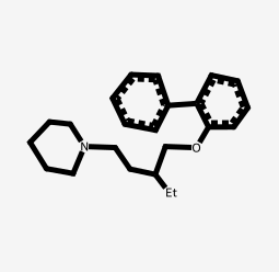 CCC(CCN1CCCCC1)COc1ccccc1-c1ccccc1